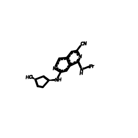 CC(C)Nc1nc(C#N)cc2cnc(N[C@H]3CC[C@H](O)C3)cc12